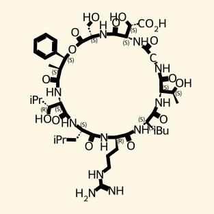 CC[C@H](C)[C@@H]1NC(=O)[C@@H](CCCNC(=N)N)NC(=O)[C@H](CC(C)C)NC(=O)[C@H]([C@H](O)C(C)C)NC(=O)[C@@H](C)[C@@H](c2ccccc2)OC(=O)[C@H](CO)NC(=O)[C@H]([C@H](O)C(=O)O)NC(=O)CNC(=O)[C@H]([C@H](C)O)NC1=O